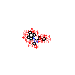 Oc1c(O)c(O)c(-c2c(O)c3oc4c(O)c(O)c5c6c(O)c(O)c(O)c(O)c6c6c(O)c(O)c(O)c7c(O)c(O)c8c(c76)c5c4n8c4nc5c(O)c(O)c(O)c(O)c5nc4c(c2O)c3O)c(O)c1O